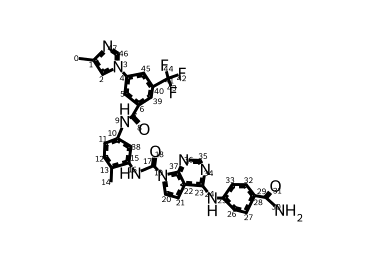 Cc1cn(-c2cc(C(=O)Nc3ccc(C)c(NC(=O)n4ccc5c(Nc6ccc(C(N)=O)cc6)ncnc54)c3)cc(C(F)(F)F)c2)cn1